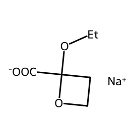 CCOC1(C(=O)[O-])CCO1.[Na+]